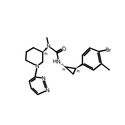 Cc1cc([C@H]2C[C@@H]2NC(=O)N(C)[C@@H]2CCCN(c3cccnn3)C2)ccc1Br